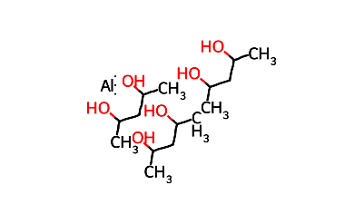 CC(O)CC(C)O.CC(O)CC(C)O.CC(O)CC(C)O.[Al]